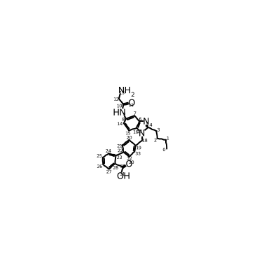 CCCCc1nc2cc(NC(=O)CN)ccc2n1Cc1ccc(-c2ccccc2C(=O)O)cc1